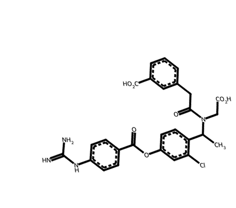 CC(c1ccc(OC(=O)c2ccc(NC(=N)N)cc2)cc1Cl)N(CC(=O)O)C(=O)Cc1cccc(C(=O)O)c1